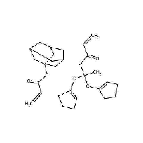 C=CC(=O)OC(C)(OC1=CCCC1)OC1=CCCC1.C=CC(=O)OC12CC3CC(CC(C3)C1)C2